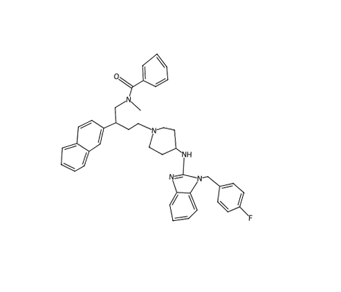 CN(CC(CCN1CCC(Nc2nc3ccccc3n2Cc2ccc(F)cc2)CC1)c1ccc2ccccc2c1)C(=O)c1ccccc1